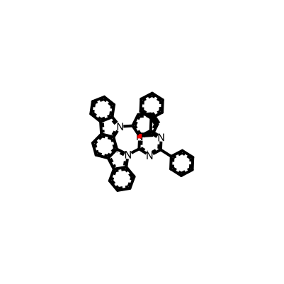 c1ccc(-n2c3ccccc3c3ccc4c5ccccc5n(-c5nc(-c6ccccc6)nc(-c6ccccc6)n5)c4c32)cc#1